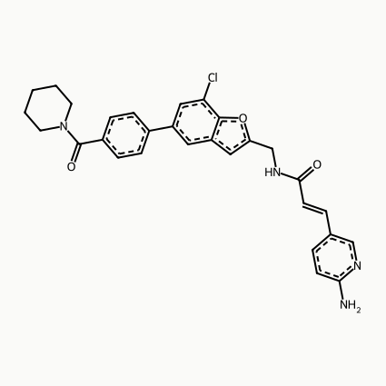 Nc1ccc(C=CC(=O)NCc2cc3cc(-c4ccc(C(=O)N5CCCCC5)cc4)cc(Cl)c3o2)cn1